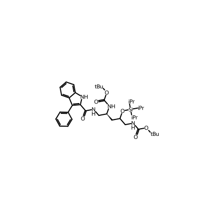 CC(C)[Si](OC(CNC(=O)OC(C)(C)C)C[C@@H](CNC(=O)c1[nH]c2ccccc2c1-c1ccccc1)NC(=O)OC(C)(C)C)(C(C)C)C(C)C